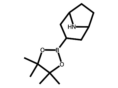 CC1(C)OB(C2CC3CCC(C2)N3)OC1(C)C